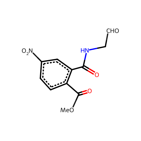 COC(=O)c1ccc([N+](=O)[O-])cc1C(=O)NCC=O